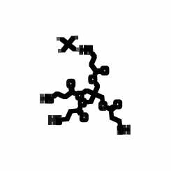 O=C(CCS)OCC(COC(=O)CCS)(COC(=O)CCS)COC(=O)CCS.[CH2]C([CH2])([CH2])[CH2]